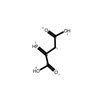 O=C(O)CC(=P)C(=O)O